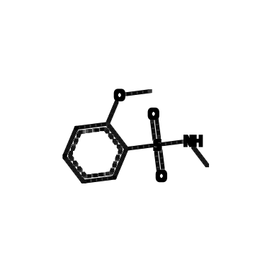 CNS(=O)(=O)c1ccccc1OC